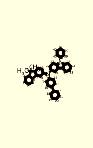 CC1(C)c2ccccc2-c2cc(N(c3ccc(-c4ccccc4)cc3)c3ccc4c(c3)c3ccccc3n4-c3ccccc3)ccc21